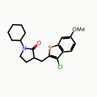 COc1ccc2c(Cl)c(CC3CCN(C4CCCCC4)C3=O)sc2c1